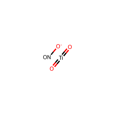 O=[NH+][O-].[O]=[Ti]=[O]